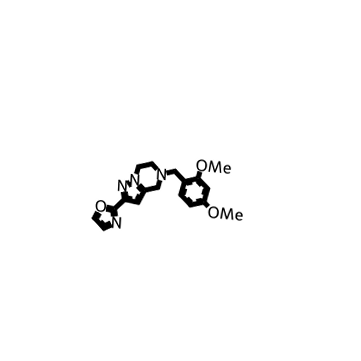 COc1ccc(CN2CCn3nc(-c4ncco4)cc3C2)c(OC)c1